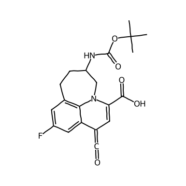 CC(C)(C)OC(=O)NC1CCc2cc(F)cc3c2N(C1)C(C(=O)O)=CC3=C=O